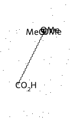 CO[Si](CCCCCCCCCCCCCCCCCCCCCCCCCCCCCCCCCCCCC(=O)O)(OC)OC